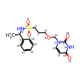 C[C@@H](NS(=O)(=O)CCCOCn1ccc(=O)[nH]c1=O)c1ccccc1